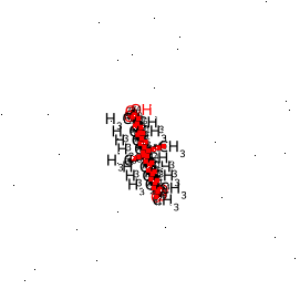 CCCCCCC1CC(C2CC(C)C(C3CC(C)C(C4CC(C)C(C5CCC(C(=O)OC)C(OC)C5)CC4C)CC3C)CC2C)C(CCCCCC)CC1C1CCC(C2CC(C)C(C3CC(C)C(C4CCC(C(=O)O)C(OC)C4)CC3C)CC2C)CC1C